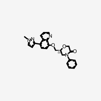 Cn1ccc(-c2ccc(OC[C@@H]3CN(c4ccccc4)C(=O)CO3)c3ncccc23)n1